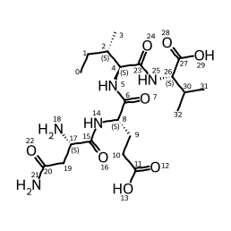 CC[C@H](C)[C@H](NC(=O)[C@H](CCC(=O)O)NC(=O)[C@@H](N)CC(N)=O)C(=O)N[C@H](C(=O)O)C(C)C